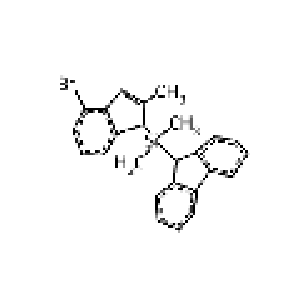 CC1=Cc2c(Br)cccc2C1[Si](C)(C)C1c2ccccc2-c2ccccc21